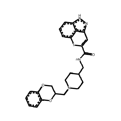 O=C(NCC1CCN(CC2COc3ccccc3O2)CC1)C1=Cc2n[nH]c3cccc(c23)S1